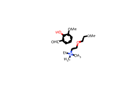 CC[N+](C)(C)CCOCCOC.COc1cccc(C=O)c1O